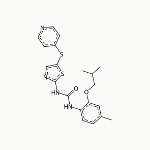 Cc1ccc(NC(=O)Nc2ncc(Sc3ccncc3)s2)c(OCC(C)C)c1